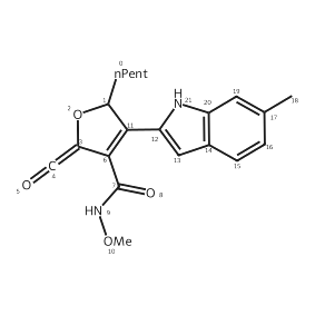 CCCCCC1OC(=C=O)C(C(=O)NOC)=C1c1cc2ccc(C)cc2[nH]1